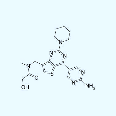 CN(Cc1csc2c(-c3cnc(N)nc3)nc(N3CCCCC3)nc12)C(=O)CO